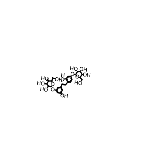 OCC1OC(Oc2cc(O)cc(/C=C/c3ccc(OC4OC(CO)C(O)C(O)C4O)cc3O)c2)C(O)C(O)C1O